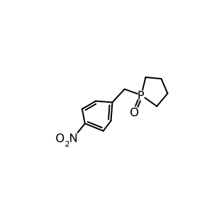 O=[N+]([O-])c1ccc(CP2(=O)CCCC2)cc1